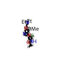 CCN(CC)CCCOc1cc2nccc(Oc3ccc(NC(=O)C4CC4C)cc3F)c2cc1OC